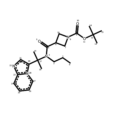 CCCN(C(=O)C1CN(C(=O)OC(C)(C)C)C1)C(C)(C)c1cnc2ccccn12